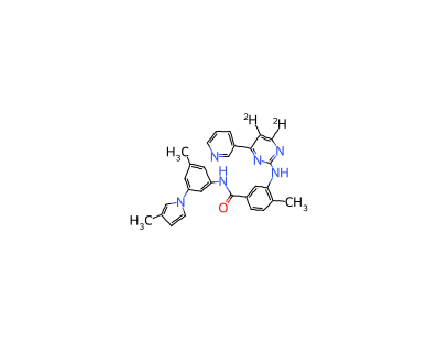 [2H]c1nc(Nc2cc(C(=O)Nc3cc(C)cc(-n4ccc(C)c4)c3)ccc2C)nc(-c2cccnc2)c1[2H]